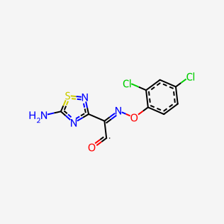 Nc1nc(/C([C]=O)=N/Oc2ccc(Cl)cc2Cl)ns1